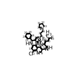 C#C/C(Nc1c(C#N)cnc2c(Cl)cc(N[C@@H](c3ccccc3)c3cn(CCCN4CCCC4)nn3)cc12)=C(F)\C=C(/C)F